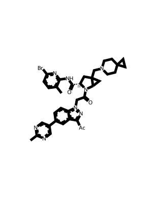 CC(=O)c1nn(CC(=O)N2C3CC3(CN3CCC4(CC3)CC4)C[C@H]2C(=O)Nc2nc(Br)ccc2C)c2ccc(-c3cnc(C)nc3)cc12